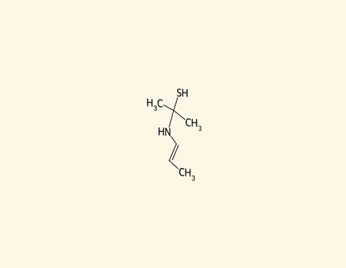 CC=CNC(C)(C)S